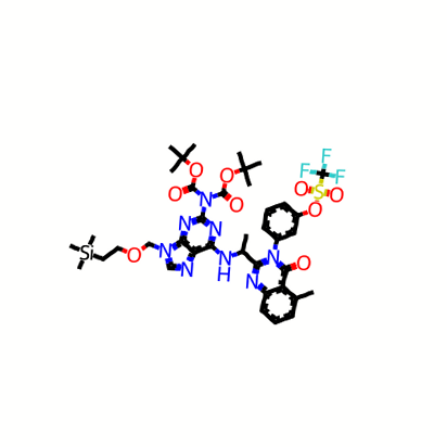 Cc1cccc2nc(C(C)Nc3nc(N(C(=O)OC(C)(C)C)C(=O)OC(C)(C)C)nc4c3ncn4COCC[Si](C)(C)C)n(-c3cccc(OS(=O)(=O)C(F)(F)F)c3)c(=O)c12